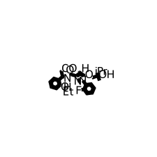 CCOc1ccccc1C(CC(=O)O)NC(=O)c1cc(OCC(C)(O)C(C)C)n(-c2ccccc2F)n1